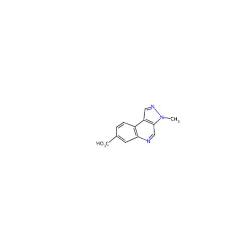 Cn1ncc2c3ccc(C(=O)O)cc3ncc21